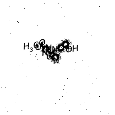 COC(=O)c1cnc(-c2oc3cnccc3c2Nc2ccc3c(O)cccc3c2)nc1